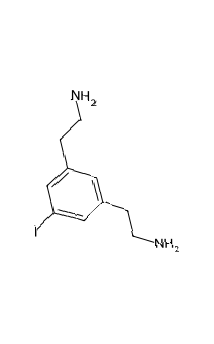 NCCc1cc(I)cc(CCN)c1